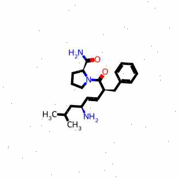 CC(C)C[C@H](N)/C=C/[C@H](Cc1ccccc1)C(=O)N1CCC[C@H]1C(N)=O